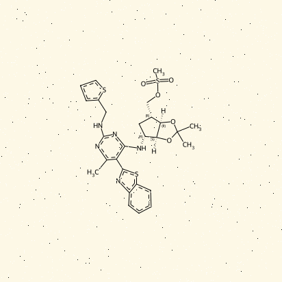 Cc1nc(NCc2cccs2)nc(N[C@@H]2C[C@H](COS(C)(=O)=O)[C@H]3OC(C)(C)O[C@H]32)c1-c1nc2ccccc2s1